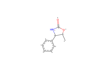 CC1OC(=O)NC1c1ccccc1